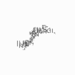 CCCC[C@H](C)C[C@H](O)/C=C/[C@@H]1[C@H]2CC(CSCCCN(C)C(C)(C)C)=C[C@H]2C[C@H]1O